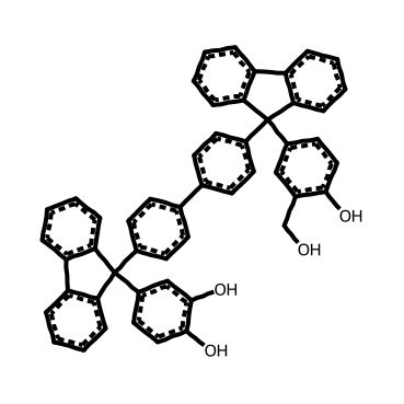 OCc1cc(C2(c3ccc(-c4ccc(C5(c6ccc(O)c(O)c6)c6ccccc6-c6ccccc65)cc4)cc3)c3ccccc3-c3ccccc32)ccc1O